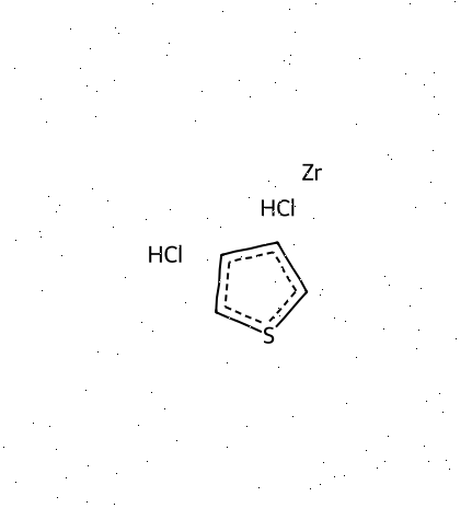 Cl.Cl.[Zr].c1ccsc1